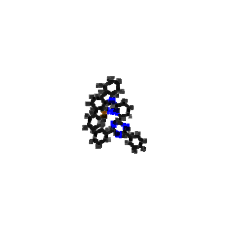 C1=CC(c2nc(-c3ccccc3)nc(-c3ccccc3)n2)NC(n2c3ccccc3c3ccc4c5ccccc5sc4c32)=C1